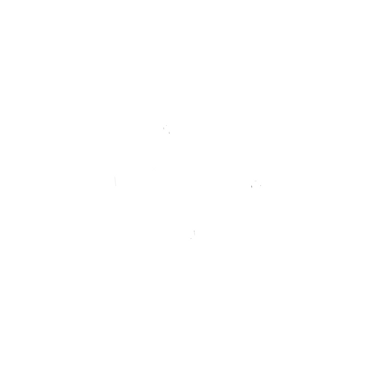 Ic1scc2c1OCCO2